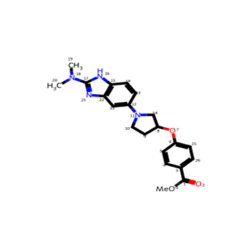 COC(=O)c1ccc(OC2CCN(c3ccc4[nH]c(N(C)C)nc4c3)C2)cc1